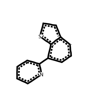 [c]1ccc(-c2ccccn2)c2sccc12